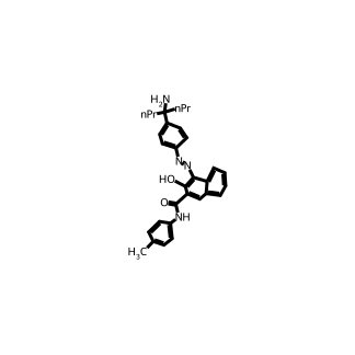 CCCC(N)(CCC)c1ccc(N=Nc2c(O)c(C(=O)Nc3ccc(C)cc3)cc3ccccc23)cc1